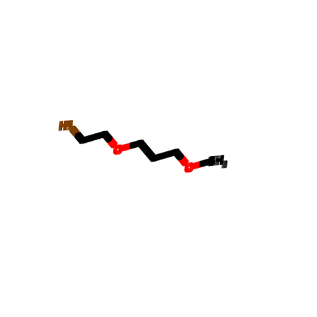 [SiH3]OCCCOCCS